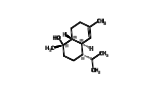 CC1=C[C@@H]2[C@@H](CC1)[C@@](C)(O)CC[C@H]2C(C)C